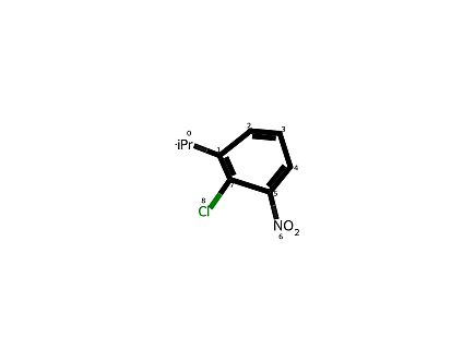 C[C](C)c1cccc([N+](=O)[O-])c1Cl